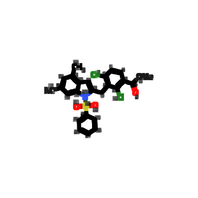 COC(=O)c1ccc(Cl)c(Cc2cc3c(C)cc(C#N)cc3n2S(=O)(=O)c2ccccc2)c1Cl